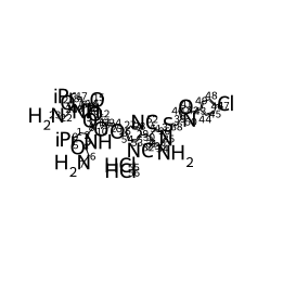 CC(C)CC(NC(=O)CN)C(=O)O[C@H](COC(=O)[C@H](CC(C)C)NC(=O)CN)COc1ccc(-c2c(C#N)c(N)nc(SCc3coc(-c4ccc(Cl)cc4)n3)c2C#N)cc1.Cl.Cl